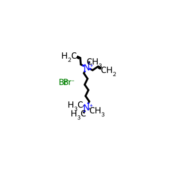 C=CC[N+](C)(CC=C)CCCCCC[N+](C)(C)C.[Br-].[Br-]